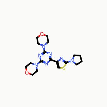 c1sc(N2CCCC2)nc1-c1nc(N2CCOCC2)nc(N2CCOCC2)n1